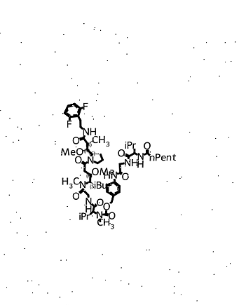 CCCCCC(=O)NC(C(=O)NCC(=O)Nc1ccc(COC(=O)N(C)C(C(=O)NCC(=O)N(C)C([C@@H](C)CC)[C@@H](CC(=O)N2CCC[C@H]2[C@H](OC)[C@@H](C)C(=O)NCCc2c(F)cccc2F)OC)C(C)C)cc1)C(C)C